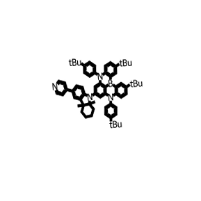 CC(C)(C)c1ccc(N2c3ccc(C(C)(C)C)cc3B3c4cc(C(C)(C)C)ccc4N(c4ccc(C(C)(C)C)cc4)c4cc(N5c6ccc(-c7ccncc7)cc6C6(C)CCCCC56C)cc2c43)cc1